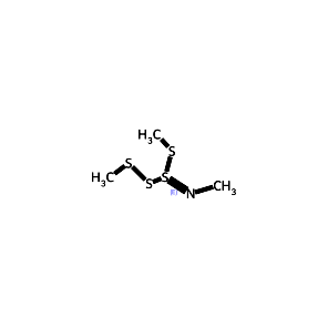 C/N=S(\SC)SSC